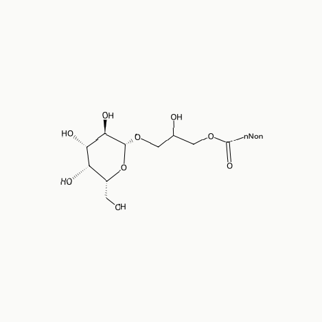 CCCCCCCCCC(=O)OCC(O)CO[C@@H]1O[C@H](CO)[C@H](O)[C@H](O)[C@H]1O